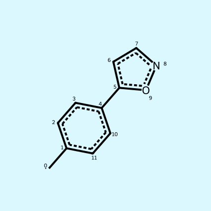 [CH2]c1ccc(-c2ccno2)cc1